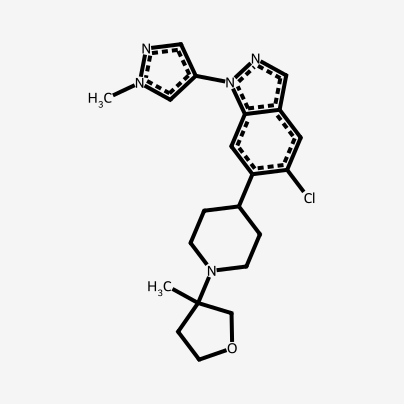 Cn1cc(-n2ncc3cc(Cl)c(C4CCN(C5(C)CCOC5)CC4)cc32)cn1